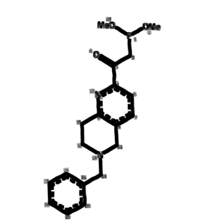 COP(CC(=O)c1ccc2c(n1)CCN(Cc1ccccc1)C2)OC